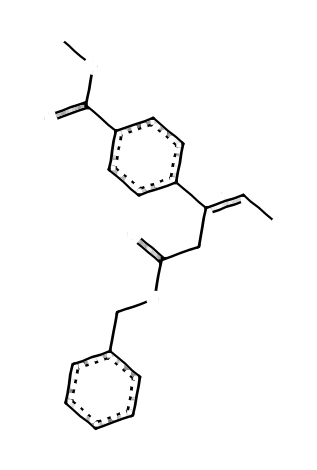 C/C=C(\CC(=O)OCc1ccccc1)c1ccc(C(=O)OC)cc1